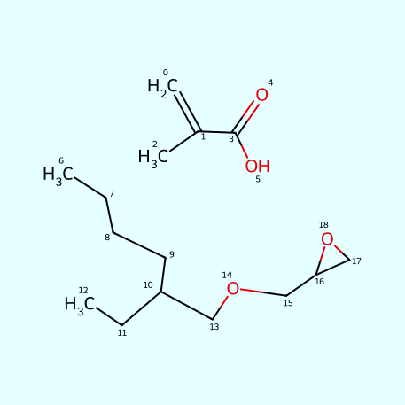 C=C(C)C(=O)O.CCCCC(CC)COCC1CO1